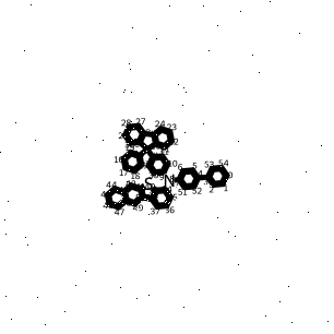 c1ccc(-c2ccc(N(c3ccc(C4(c5ccccc5)c5ccccc5-c5ccccc54)cc3)c3cccc4c3sc3cc5ccccc5cc34)cc2)cc1